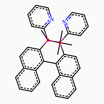 CCP(c1ccccn1)c1ccc2ccccc2c1-c1c(P(c2ccccn2)C(C)(C)C)ccc2ccccc12